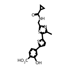 Cc1nc(CNC(=O)C2CC2)sc1-c1ccc(-c2ccc(C(=O)O)c(O)c2)s1